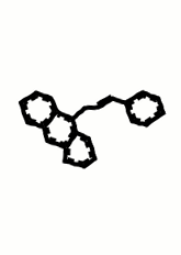 C(=C\c1ccccc1)/Cc1c2ccccc2cc2ccccc12